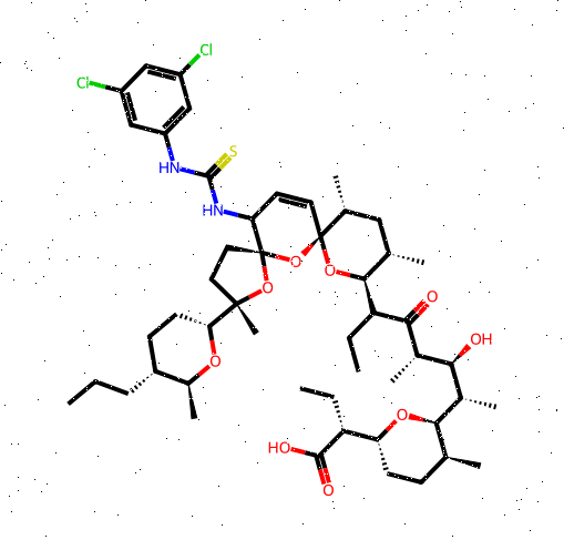 CCC[C@@H]1CC[C@H]([C@]2(C)CC[C@@]3(O[C@]4(C=CC3NC(=S)Nc3cc(Cl)cc(Cl)c3)O[C@H](C(CC)C(=O)[C@@H](C)[C@@H](O)[C@H](C)[C@@H]3O[C@@H]([C@@H](CC)C(=O)O)CC[C@@H]3C)[C@@H](C)C[C@H]4C)O2)O[C@H]1C